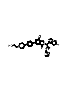 O=C(Nc1nccs1)C(c1ncn2c1C[C@@H](F)C2)N1Cc2c(Cl)cc(-c3ccc(C4CCN(CCO)CC4)cc3)cc2C1=O